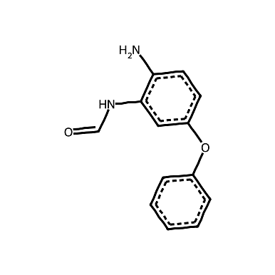 Nc1ccc(Oc2ccccc2)cc1NC=O